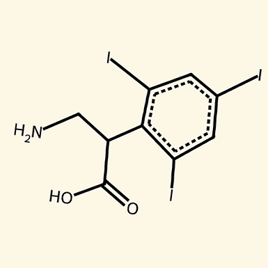 NCC(C(=O)O)c1c(I)cc(I)cc1I